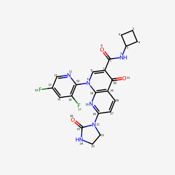 O=C(NC1CCC1)c1cn(-c2ncc(F)cc2F)c2nc(N3CCNC3=O)ccc2c1=O